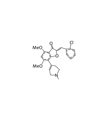 COc1cc(OC)c(C2=CCN(C)CC2)c2c1C(=O)/C(=C/c1ccccc1Cl)O2